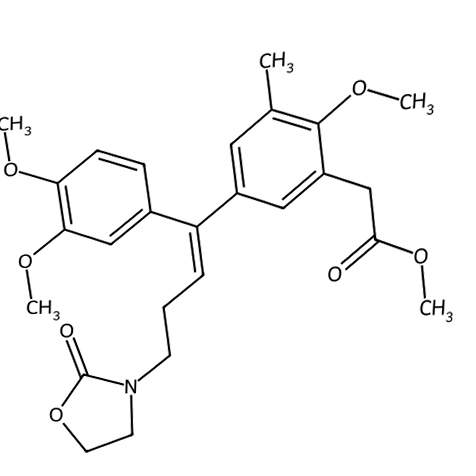 COC(=O)Cc1cc(/C(=C/CCN2CCOC2=O)c2ccc(OC)c(OC)c2)cc(C)c1OC